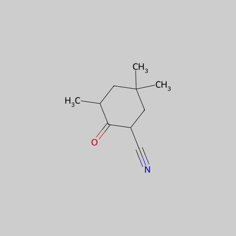 CC1CC(C)(C)CC(C#N)C1=O